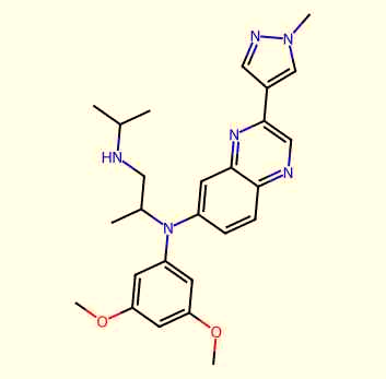 COc1cc(OC)cc(N(c2ccc3ncc(-c4cnn(C)c4)nc3c2)C(C)CNC(C)C)c1